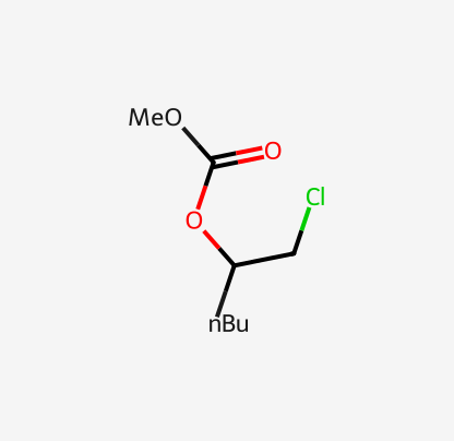 CCCCC(CCl)OC(=O)OC